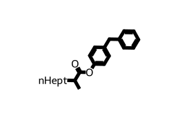 CCCCCCCC(C)C(=O)Oc1ccc(Cc2ccccc2)cc1